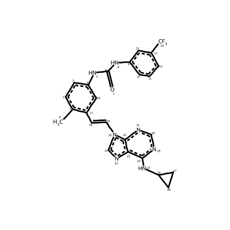 Cc1ccc(NC(=O)Nc2cccc(C(F)(F)F)c2)cc1C=Cn1cnc2c(NC3CC3)ncnc21